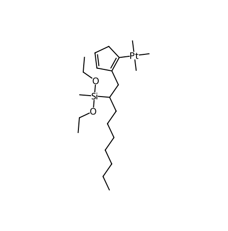 CCCCCCCC(CC1=[C]([Pt]([CH3])([CH3])[CH3])CC=C1)[Si](C)(OCC)OCC